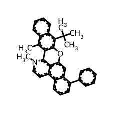 Cc1c2c(c(C(C)(C)C)c3ccccc13)Oc1cc3c(-c4ccccc4)cccc3c3cc[n+](C)c-2c13